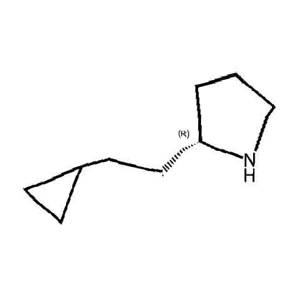 [CH](CC1CC1)[C@@H]1CCCN1